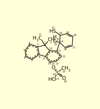 CC1(C)c2ccccc2-c2cccc(C3(C)C=CC=CC3S)c21.CS(=O)(=O)O